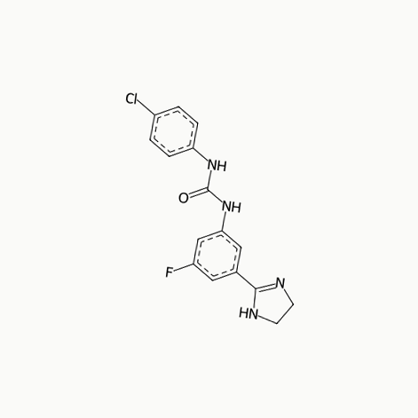 O=C(Nc1ccc(Cl)cc1)Nc1cc(F)cc(C2=NCCN2)c1